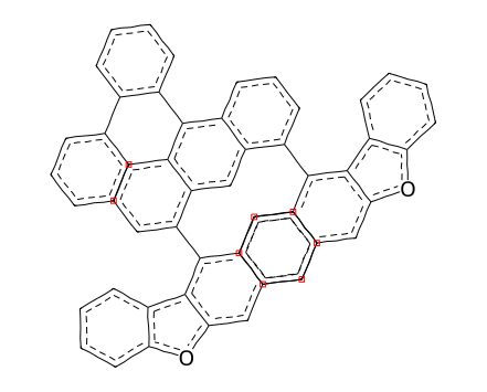 c1ccc(-c2ccccc2-c2c3cccc(-c4c5ccccc5cc5oc6ccccc6c45)c3cc3c(-c4c5ccccc5cc5oc6ccccc6c45)cccc23)cc1